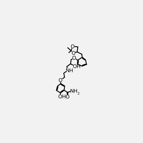 CC1(C)OCC(Cc2ccccc2OCC(O)CNCCOc2ccc(O)c(C(N)=O)c2)O1